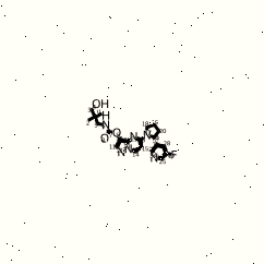 CC(C)(CO)CNC(=O)Oc1cnn2ccc(N3CCC[C@@H]3c3cncc(F)c3)nc12